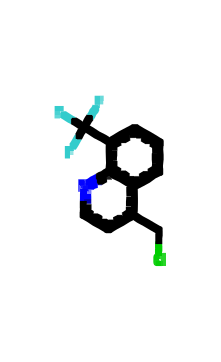 FC(F)(F)c1cccc2c(CCl)ccnc12